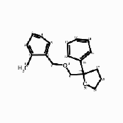 Cc1ccccc1COCC1(c2ccccc2)CCCO1